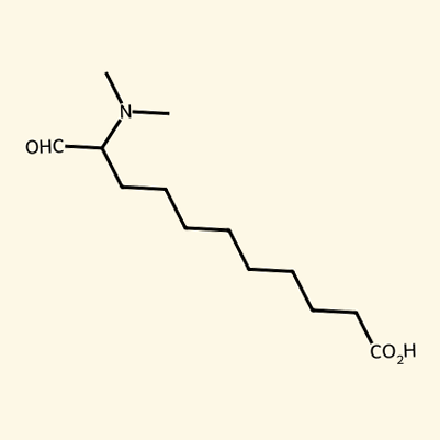 CN(C)C(C=O)CCCCCCCCC(=O)O